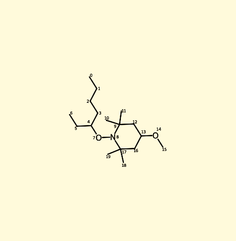 CCCCC(CC)ON1C(C)(C)CC(OC)CC1(C)C